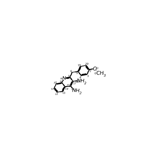 COc1ccc(Cc2nc3ccccc3c(N)c2N)cc1